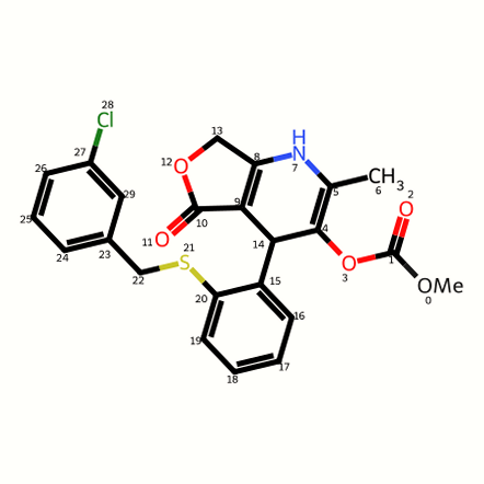 COC(=O)OC1=C(C)NC2=C(C(=O)OC2)C1c1ccccc1SCc1cccc(Cl)c1